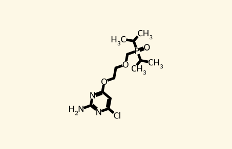 CC(C)P(=O)(COCCOc1cc(Cl)nc(N)n1)C(C)C